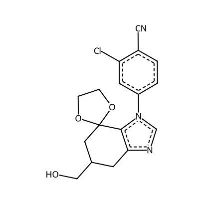 N#Cc1ccc(-n2cnc3c2C2(CC(CO)C3)OCCO2)cc1Cl